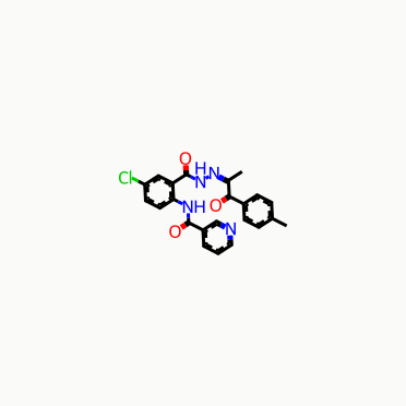 CC(=NNC(=O)c1cc(Cl)ccc1NC(=O)c1cccnc1)C(=O)c1ccc(C)cc1